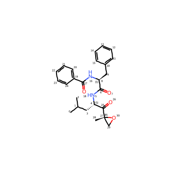 CC(C)C[C@H](NC(=O)[C@H](Cc1ccccc1)NC(=O)c1ccccc1)C(=O)[C@@]1(C)CO1